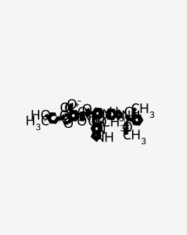 CCOC[C@@H](NC1CC2(CCN(c3ccc(C(=O)NS(=O)(=O)c4cc5c(c([N+](=O)[O-])c4)O[C@H]([C@H]4CC[C@](C)(O)CC4)CO5)c(Oc4cc5cc[nH]c5nc4OC)c3)CC2)C1)c1ccccc1C(C)C